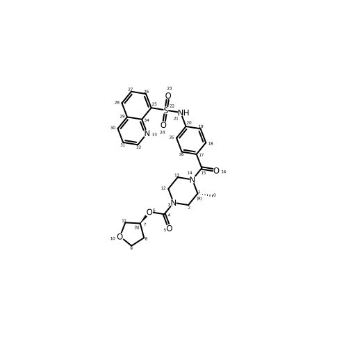 C[C@@H]1CN(C(=O)O[C@H]2CCOC2)CCN1C(=O)c1ccc(NS(=O)(=O)c2cccc3cccnc23)cc1